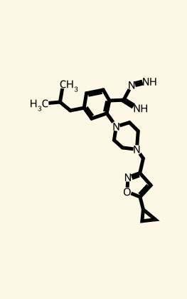 CC(C)Cc1ccc(C(=N)N=N)c(N2CCN(Cc3cc(C4CC4)on3)CC2)c1